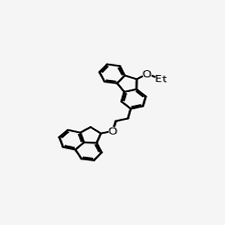 CCOC1c2ccccc2-c2cc(CCOC3Cc4cccc5cccc3c45)ccc21